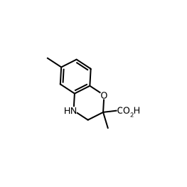 Cc1ccc2c(c1)NCC(C)(C(=O)O)O2